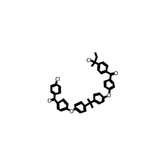 CCC(C)(Cl)c1ccc(C(=O)c2ccc(Oc3ccc(C(C)(C)c4ccc(Oc5ccc(C(=O)c6ccc(Cl)cc6)cc5)cc4)cc3)cc2)cc1